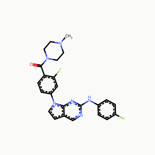 CN1CCN(C(=O)c2ccc(-n3ccc4cnc(Nc5ccc(F)cc5)nc43)cc2F)CC1